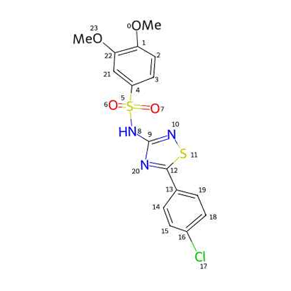 COc1ccc(S(=O)(=O)Nc2nsc(-c3ccc(Cl)cc3)n2)cc1OC